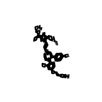 CCOC(=O)c1cn(CCN2CCN(c3ccc(OCCO)cc3Cl)C(c3ccc(Cl)cc3)C2)c(C)n1